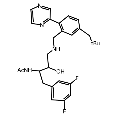 CC(=O)NC(Cc1cc(F)cc(F)c1)C(O)CNCc1cc(CC(C)(C)C)ccc1-c1cnccn1